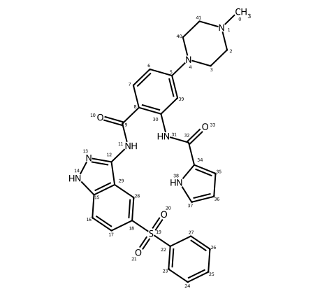 CN1CCN(c2ccc(C(=O)Nc3n[nH]c4ccc(S(=O)(=O)c5ccccc5)cc34)c(NC(=O)c3ccc[nH]3)c2)CC1